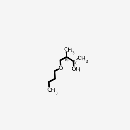 CCCCOC[C@@H](C)[C@H](C)O